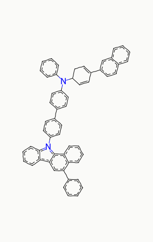 C1=CC(N(c2ccccc2)c2ccc(-c3ccc(-n4c5ccccc5c5cc(-c6ccccc6)c6ccccc6c54)cc3)cc2)CC=C1c1ccc2ccccc2c1